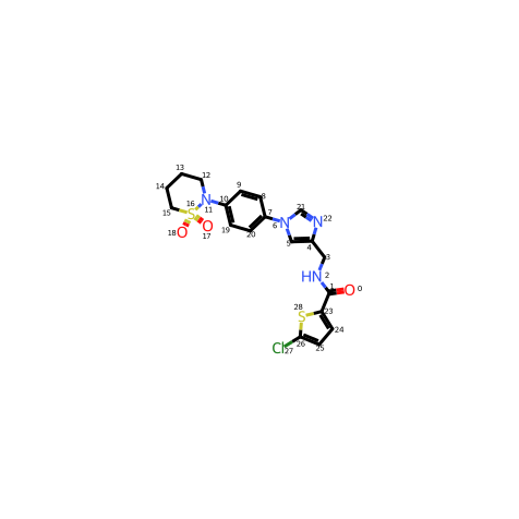 O=C(NCc1cn(-c2ccc(N3CCCCS3(=O)=O)cc2)cn1)c1ccc(Cl)s1